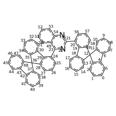 c1ccc2c(c1)-c1ccccc1C21c2ccccc2-c2c(-c3nc(-c4cccc5c4-c4ccccc4C54c5ccccc5-c5ccccc54)c4ccccc4n3)cccc21